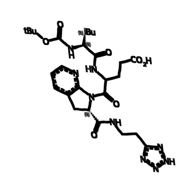 CC[C@H](C)[C@H](NC(=O)OC(C)(C)C)C(=O)NC(CCC(=O)O)C(=O)N1c2ncccc2C[C@H]1C(=O)NCCc1nn[nH]n1